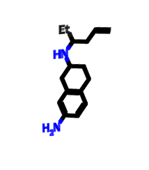 C=CCC(CC)NC1CCc2ccc(N)cc2C1